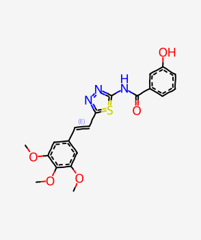 COc1cc(/C=C/c2nnc(NC(=O)c3cccc(O)c3)s2)cc(OC)c1OC